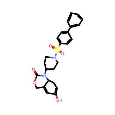 O=C1OCC2=CC(O)=CCC2N1C1CCN(S(=O)(=O)c2ccc(-c3ccccc3)cc2)CC1